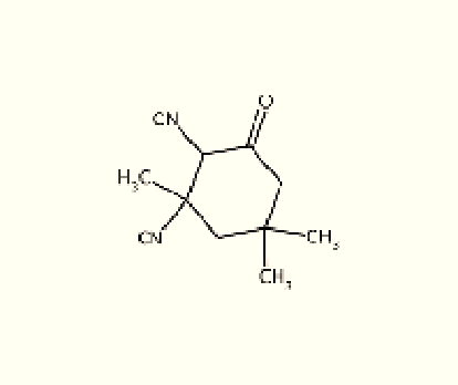 [C-]#[N+]C1C(=O)CC(C)(C)CC1(C)[N+]#[C-]